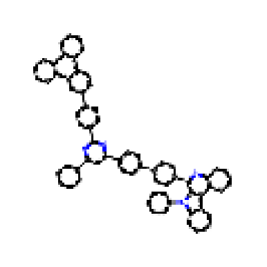 c1ccc(-c2cc(-c3ccc(-c4ccc(-c5nc6ccccc6c6c7ccccc7n(-c7ccccc7)c56)cc4)cc3)nc(-c3ccc(-c4ccc5c6ccccc6c6ccccc6c5c4)cc3)n2)cc1